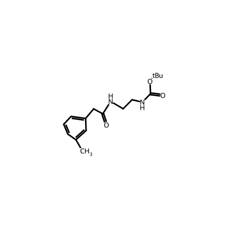 Cc1cccc(CC(=O)NCCNC(=O)OC(C)(C)C)c1